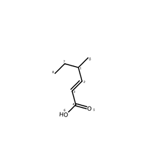 [CH2]C(C=CC(=O)O)CC